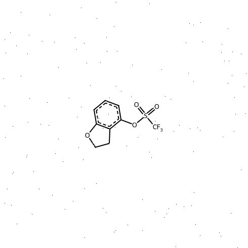 O=S(=O)(Oc1cccc2c1CCO2)C(F)(F)F